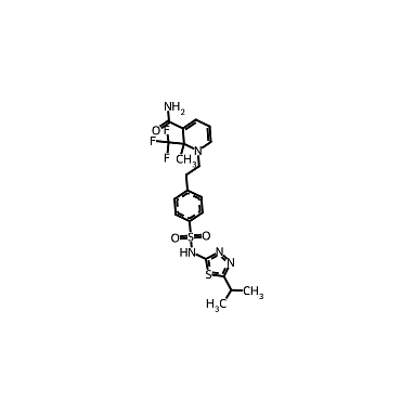 CC(C)c1nnc(NS(=O)(=O)c2ccc(CCN3C=CC=C(C(N)=O)C3(C)C(F)(F)F)cc2)s1